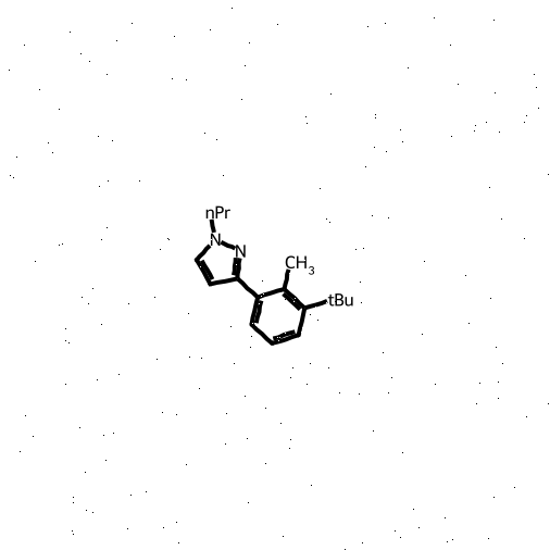 CCCn1ccc(-c2cccc(C(C)(C)C)c2C)n1